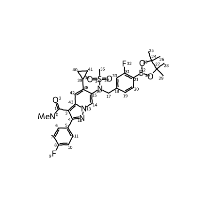 CNC(=O)c1c(-c2ccc(F)cc2)nn2cc(N(Cc3ccc(B4OC(C)(C)C(C)(C)O4)c(F)c3)S(C)(=O)=O)c(C3CC3)cc12